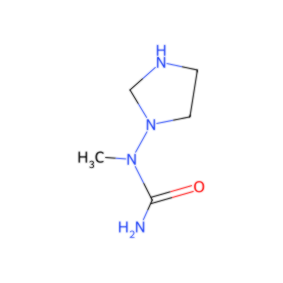 CN(C(N)=O)N1CCNC1